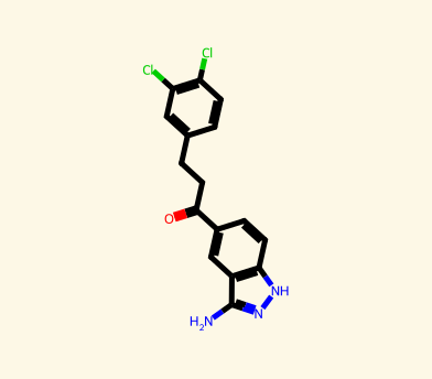 Nc1n[nH]c2ccc(C(=O)CCc3ccc(Cl)c(Cl)c3)cc12